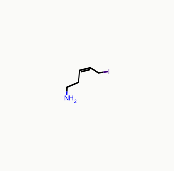 NCC/C=C\CI